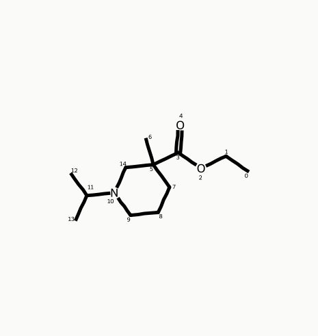 CCOC(=O)C1(C)CCCN(C(C)C)C1